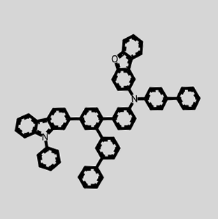 c1ccc(-c2ccc(N(c3cccc(-c4ccc(-c5ccc6c7ccccc7n(-c7ccccc7)c6c5)cc4-c4cccc(-c5ccccc5)c4)c3)c3ccc4oc5ccccc5c4c3)cc2)cc1